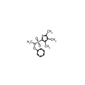 Cc1sc(S(=O)(=O)N(C)Oc2ccccc2)c(C)c1C